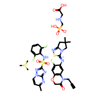 C#CCN1C(=O)COc2cc(F)c(/N=c3\snc4n3CC(C)(C)C4)cc21.C[S+](C)C.Cc1ccn2nc(S(=O)(=O)Nc3c(F)cccc3F)nc2n1.O=C(O)CNCP(=O)([O-])O